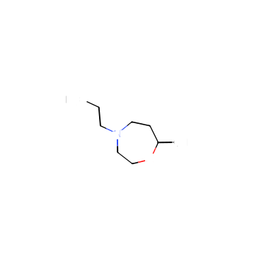 CCCN1CCOC(C)CC1